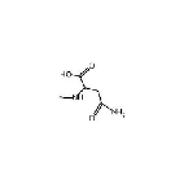 NC(=O)CC(NF)C(=O)O